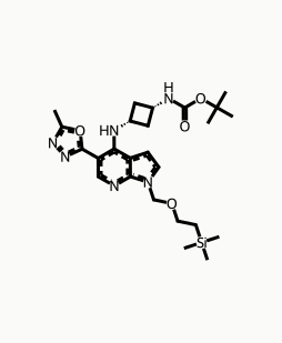 Cc1nnc(-c2cnc3c(ccn3COCC[Si](C)(C)C)c2N[C@H]2C[C@@H](NC(=O)OC(C)(C)C)C2)o1